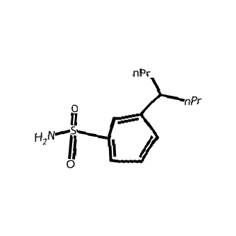 CCCC(CCC)c1cccc(S(N)(=O)=O)c1